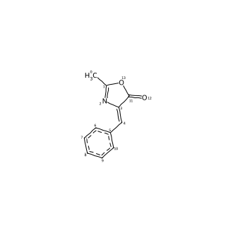 CC1=N/C(=C\c2c[c][c]cc2)C(=O)O1